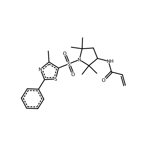 C=CC(=O)NC1CC(C)(C)N(S(=O)(=O)c2sc(-c3ccccc3)nc2C)C1(C)C